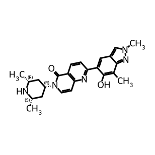 Cc1c(O)c(-c2ccc3c(=O)n([C@H]4C[C@@H](C)N[C@@H](C)C4)ccc3n2)cc2cn(C)nc12